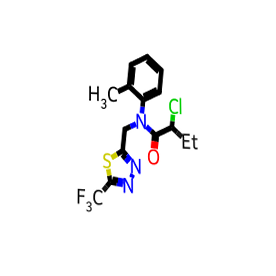 CCC(Cl)C(=O)N(Cc1nnc(C(F)(F)F)s1)c1ccccc1C